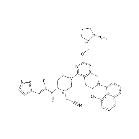 CN1CCC[C@H]1COc1nc2c(c(N3CCN(C(=O)C(F)=Cc4ccns4)[C@@H](CC#N)C3)n1)CCN(c1cccc3cccc(Cl)c13)C2